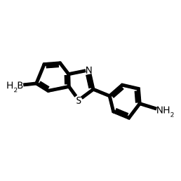 Bc1ccc2nc(-c3ccc(N)cc3)sc2c1